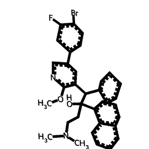 COc1ncc(-c2ccc(Br)c(F)c2)cc1C(c1ccccc1)C(O)(CCN(C)C)c1cccc2ccccc12